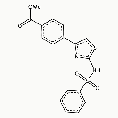 COC(=O)c1ccc(-c2csc(NS(=O)(=O)c3ccccc3)n2)cc1